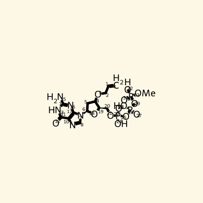 C=CCOC1C[C@H](n2cnc3c(=O)[nH]c(N)nc32)O[C@@H]1COP(=O)(O)OP(=O)(O)OP(=O)(O)OC